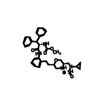 COC(=O)N[C@H](C(=O)Nc1ccccc1CC[C@@H]1CN[C@H](CN(C2CC2)[SH](=O)=O)CO1)C(c1ccccc1)c1ccccc1